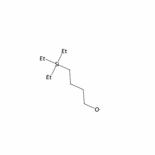 CC[Si](CC)(CC)CCCC[O]